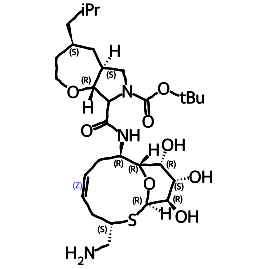 CC(C)C[C@@H]1CCO[C@H]2C(C(=O)N[C@@H]3C/C=C\C[C@@H](CN)S[C@H]4O[C@H]3[C@H](O)[C@H](O)[C@H]4O)N(C(=O)OC(C)(C)C)C[C@@H]2C1